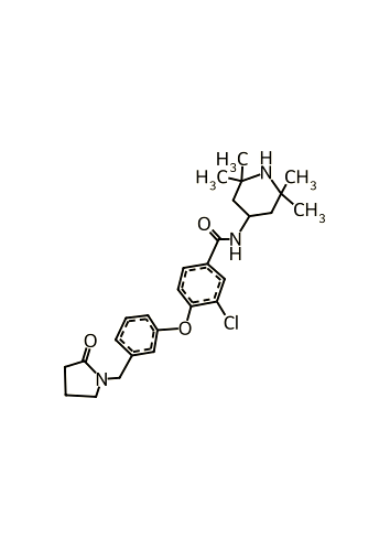 CC1(C)CC(NC(=O)c2ccc(Oc3cccc(CN4CCCC4=O)c3)c(Cl)c2)CC(C)(C)N1